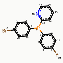 Brc1ccc(P(c2ccc(Br)cc2)c2ccccn2)cc1